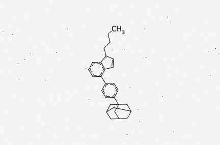 CCCC[C]1C=Cc2c1cccc2-c1ccc(C23CC4CC(CC(C4)C2)C3)cc1